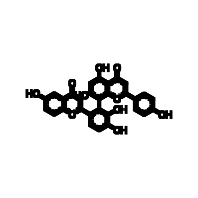 O=c1cc(-c2ccc(O)c(O)c2-c2c(O)cc(O)c3c(=O)cc(-c4ccc(O)cc4)oc23)oc2ccc(O)cc12